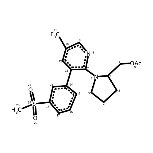 CC(=O)OCC1CCCN1c1ncc(C(F)(F)F)cc1-c1cccc(S(C)(=O)=O)c1